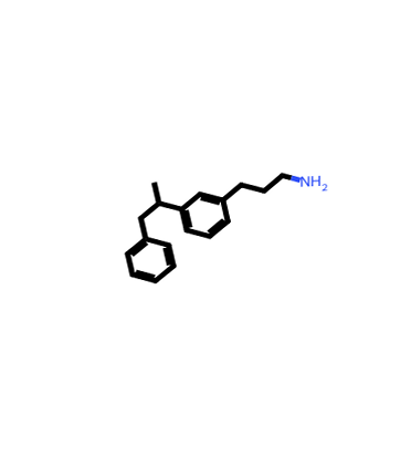 CC(Cc1ccccc1)c1cccc(CCCN)c1